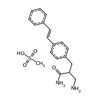 CS(=O)(=O)O.NCC(Cc1ccc(C=Cc2ccccc2)cc1)C(N)=O